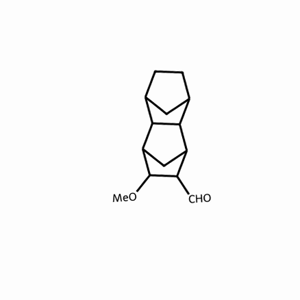 COC1C(C=O)C2CC1C1C3CCC(C3)C21